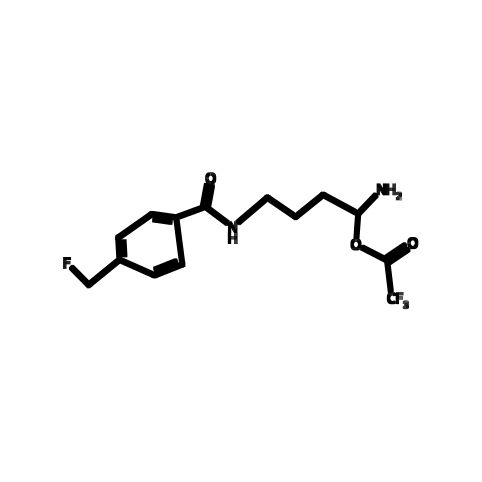 NC(CCCNC(=O)c1ccc(CF)cc1)OC(=O)C(F)(F)F